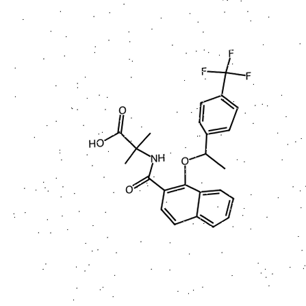 CC(Oc1c(C(=O)NC(C)(C)C(=O)O)ccc2ccccc12)c1ccc(C(F)(F)F)cc1